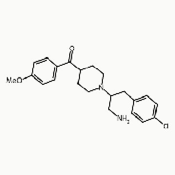 COc1ccc(C(=O)C2CCN(C(CN)Cc3ccc(Cl)cc3)CC2)cc1